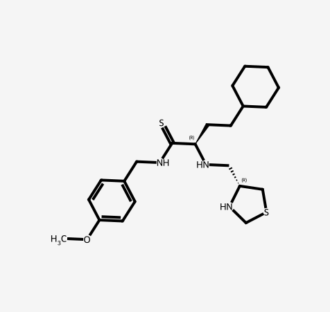 COc1ccc(CNC(=S)[C@@H](CCC2CCCCC2)NC[C@@H]2CSCN2)cc1